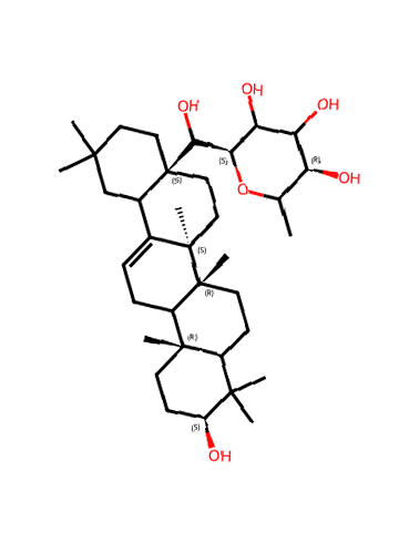 CC1O[C@@H](C(O)[C@]23CCC(C)(C)CC2C2=CCC4[C@@]5(C)CC[C@H](O)C(C)(C)C5CC[C@@]4(C)[C@]2(C)CC3)C(O)C(O)[C@H]1O